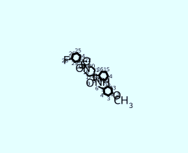 COc1ccc(CNC(=O)C2(c3ccccc3)CCN(S(=O)(=O)c3cccc(F)c3)CC2)cc1